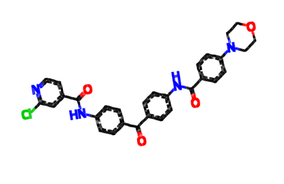 O=C(Nc1ccc(C(=O)c2ccc(NC(=O)c3ccnc(Cl)c3)cc2)cc1)c1ccc(N2CCOCC2)cc1